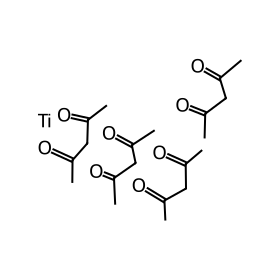 CC(=O)CC(C)=O.CC(=O)CC(C)=O.CC(=O)CC(C)=O.CC(=O)CC(C)=O.[Ti]